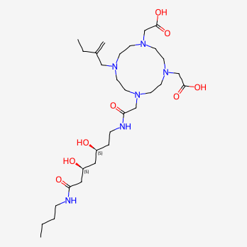 C=C(CC)CN1CCN(CC(=O)O)CCN(CC(=O)O)CCN(CC(=O)NCC[C@H](O)C[C@H](O)CC(=O)NCCCC)CC1